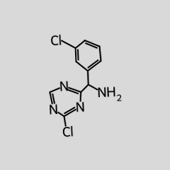 NC(c1cccc(Cl)c1)c1ncnc(Cl)n1